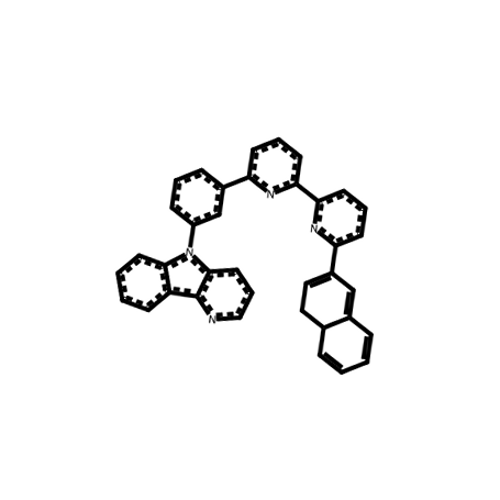 C1=CC2=CC(c3cccc(-c4cccc(-c5cccc(-n6c7ccccc7c7ncccc76)c5)n4)n3)=CCC2C=C1